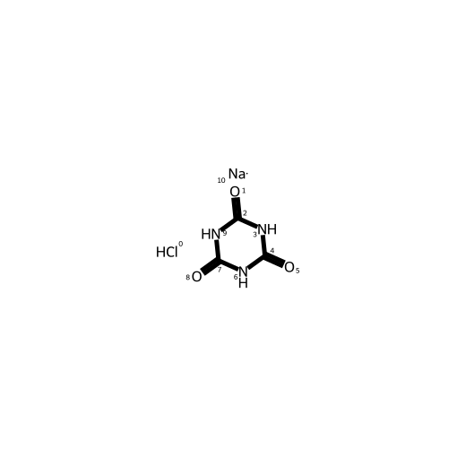 Cl.O=c1[nH]c(=O)[nH]c(=O)[nH]1.[Na]